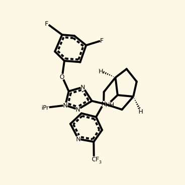 CC(C)n1nc(NC2[C@@H]3CC[C@H]2CN(c2ccnc(C(F)(F)F)c2)C3)nc1Oc1cc(F)cc(F)c1